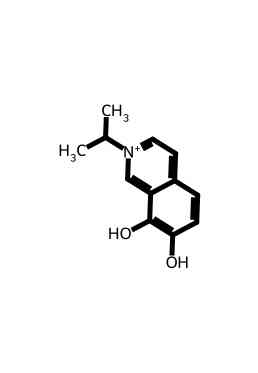 CC(C)[n+]1ccc2ccc(O)c(O)c2c1